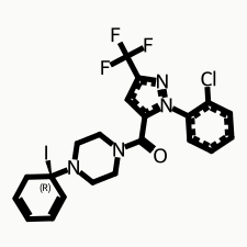 O=C(c1cc(C(F)(F)F)nn1-c1ccccc1Cl)N1CCN([C@]2(I)C=CC=CC2)CC1